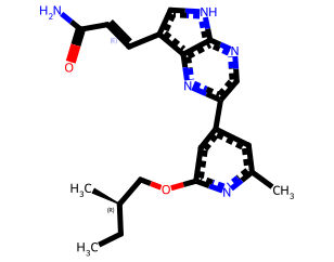 CC[C@@H](C)COc1cc(-c2cnc3[nH]cc(/C=C/C(N)=O)c3n2)cc(C)n1